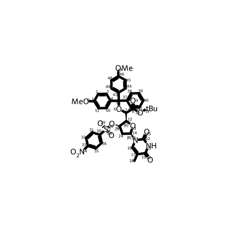 COc1ccc(C(OC(C(=O)OC(C)(C)C)[C@H]2O[C@@H](n3cc(C)c(=O)[nH]c3=O)C[C@@H]2OS(=O)(=O)c2ccc([N+](=O)[O-])cc2)(c2ccccc2)c2ccc(OC)cc2)cc1